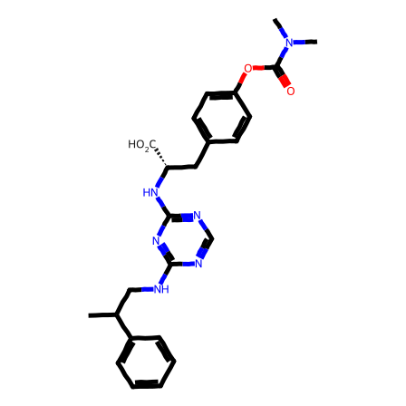 CC(CNc1ncnc(N[C@@H](Cc2ccc(OC(=O)N(C)C)cc2)C(=O)O)n1)c1ccccc1